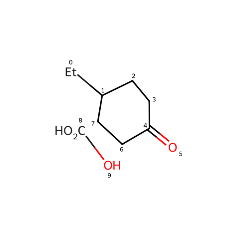 CCC1CCC(=O)CC1.O=C(O)O